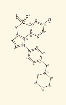 O=S1(=O)Cc2[c]nn(-c3ccc(CN4CCOCC4)cc3)c2-c2ccc(Cl)cc21